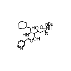 CCCCNS(=O)(=O)CC(O)C(O)C(CC1CCCCC1)NC(=O)c1cccnc1